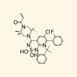 C=CC(=O)N1C[C@H](C)N(C2=NS(O)(O)N(c3ccccc3C(C)(C)C)c3nc(-c4ccccc4F)c(Cl)cc32)C[C@H]1C